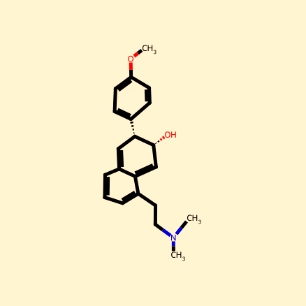 COc1ccc([C@H]2C=c3cccc(CCN(C)C)c3=C[C@H]2O)cc1